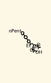 C=C(C)C(=O)OCC(COC(=O)C(=C)CO)CC(CC)c1ccc(-c2ccc(C3=CCC(CCCCC)CC3)cc2)cc1